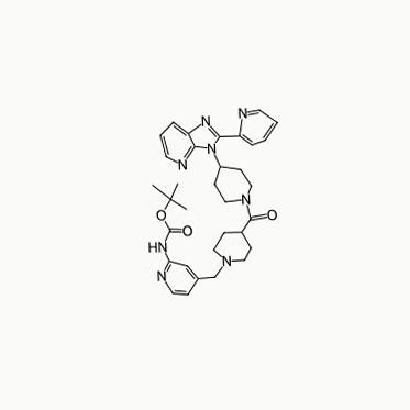 CC(C)(C)OC(=O)Nc1cc(CN2CCC(C(=O)N3CCC(n4c(-c5ccccn5)nc5cccnc54)CC3)CC2)ccn1